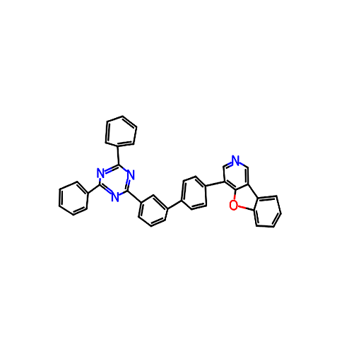 c1ccc(-c2nc(-c3ccccc3)nc(-c3cccc(-c4ccc(-c5cncc6c5oc5ccccc56)cc4)c3)n2)cc1